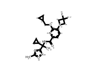 Cc1nc(C(C)(NC(=O)c2ccc(N3CC(F)(F)C3)c(OCC3CC3)n2)C2CC2)no1